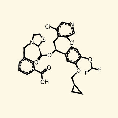 O=C(O)c1cccc(CN2CCS[C@H]2C(=O)O[C@@H](Cc2c(Cl)cncc2Cl)c2ccc(OC(F)F)c(OCC3CC3)c2)c1